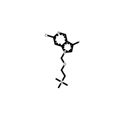 C[Si](C)(C)CCOCn1cc(I)c2cnc(Cl)cc21